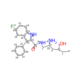 CCC(O)C[C@H](N)CNC(=O)c1[nH]c2ccc(F)cc2c1-c1ccccc1